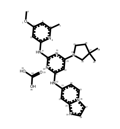 COc1cc(C)nc(Nc2nc(Nc3ccn4ccnc4c3)cc(N3CCC(C)(C)C3)n2)c1.O=C(O)O